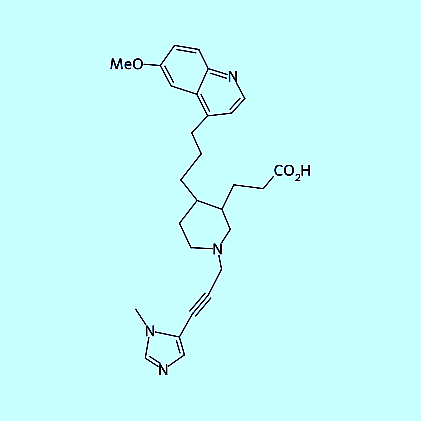 COc1ccc2nccc(CCCC3CCN(CC#Cc4cncn4C)CC3CCC(=O)O)c2c1